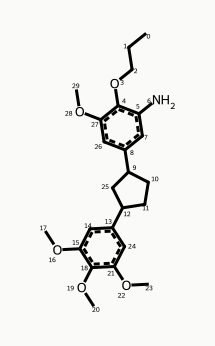 CCCOc1c(N)cc(C2CCC(c3cc(OC)c(OC)c(OC)c3)C2)cc1OC